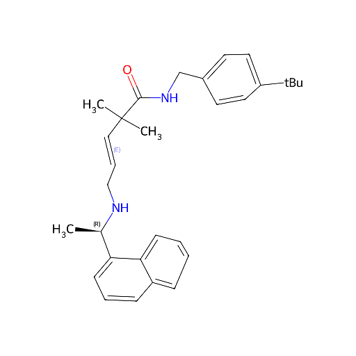 C[C@@H](NC/C=C/C(C)(C)C(=O)NCc1ccc(C(C)(C)C)cc1)c1cccc2ccccc12